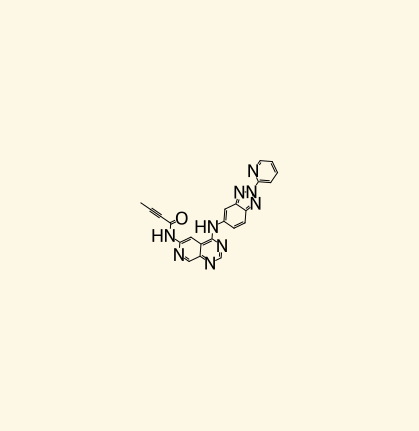 CC#CC(=O)Nc1cc2c(Nc3ccc4nn(-c5ccccn5)nc4c3)ncnc2cn1